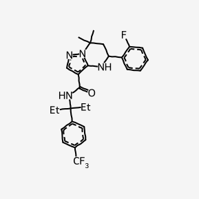 CCC(CC)(NC(=O)c1cnn2c1NC(c1ccccc1F)CC2(C)C)c1ccc(C(F)(F)F)cc1